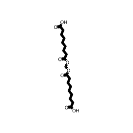 O=C(O)CCCCCCCC(=O)OCOC(=O)CCCCCCCC(=O)O